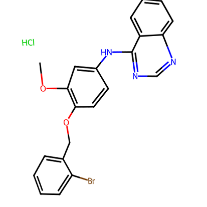 COc1cc(Nc2ncnc3ccccc23)ccc1OCc1ccccc1Br.Cl